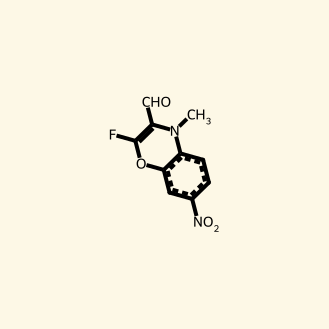 CN1C(C=O)=C(F)Oc2cc([N+](=O)[O-])ccc21